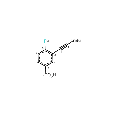 CCCCC#Cc1cc(C(=O)O)ccc1F